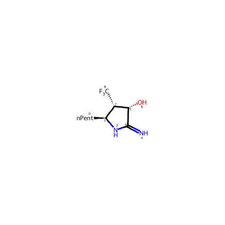 CCCCC[C@@H]1NC(=N)[C@@H](O)[C@H]1C(F)(F)F